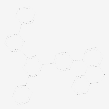 c1ccc(-c2cccc(-c3nc(-c4ccccc4)nc(-c4ccc(-c5cccc6c5-c5ccccc5OC6)cc4)n3)c2)cc1